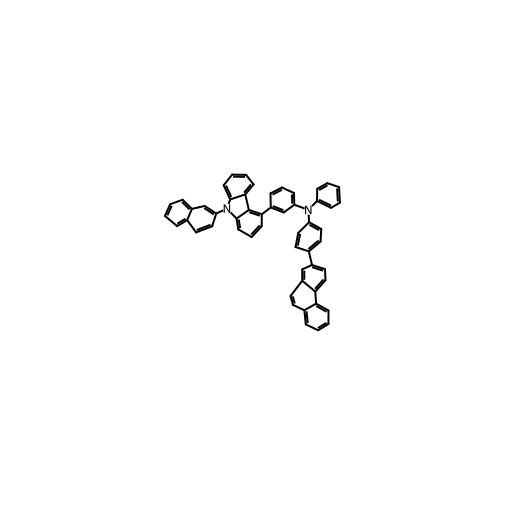 c1ccc(N(c2ccc(-c3ccc4c(ccc5ccccc54)c3)cc2)c2cccc(-c3cccc4c3c3ccccc3n4-c3ccc4ccccc4c3)c2)cc1